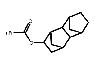 CCCC(=O)OC1CC2CC1C1C3CCC(C3)C21